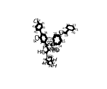 COc1cc(C(F)(F)C(NS(=O)(=O)c2ccc(OCC3CCCCC3)cc2)C(O)N2C[C@H]3CNC[C@H]3C2)ccc1-c1ccc(Cl)cc1